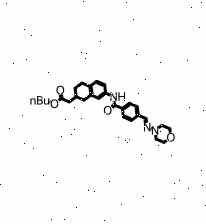 CCCCOC(=O)CC1CCc2ccc(NC(=O)c3ccc(/C=N/N4CCOCC4)cc3)cc2C1